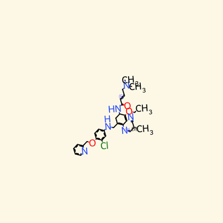 CCOC1=CC(/N=C\[C@H](C)C#N)=C(CNc2ccc(OCc3ccccn3)c(Cl)c2)CC1NC(=O)/C=C/CN(C)C